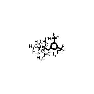 CC(C)O[Si](Cc1cc(C(F)(F)F)cc(C(F)(F)F)c1)(OC(C)C)OC(C)C